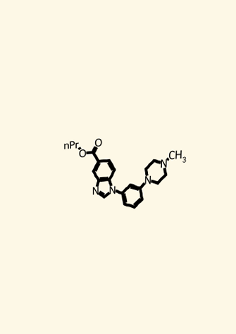 CCCOC(=O)c1ccc2c(c1)ncn2-c1cccc(N2CCN(C)CC2)c1